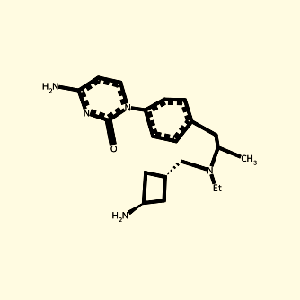 CCN(C[C@H]1C[C@H](N)C1)C(C)Cc1ccc(-n2ccc(N)nc2=O)cc1